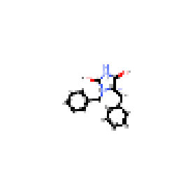 O=C1NC(=O)N(Cc2ccccc2)/C1=C\c1ccccc1